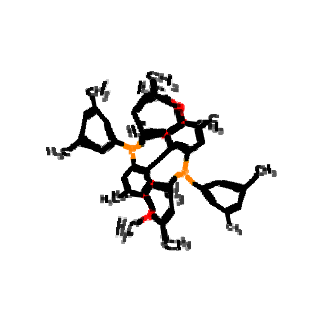 COc1c(C)cc(P(c2cc(C)cc(C)c2)c2cc(C)cc(C)c2)c(-c2c(P(c3cc(C)cc(C)c3)c3cc(C)cc(C)c3)cc(C)c(OC)c2C)c1C